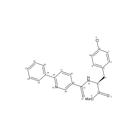 COC(=O)[C@H](Cc1ccc(Cl)cc1)NC(=O)c1ccc(-c2ccccc2)nc1